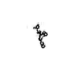 COc1ccc(CN2Cc3nc(-c4c(F)cccc4F)cc(Nc4ccc(N5CCC6(CCCCO6)CC5)cn4)c3C2=O)c(OC)c1